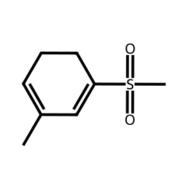 CC1=CCCC(S(C)(=O)=O)=C1